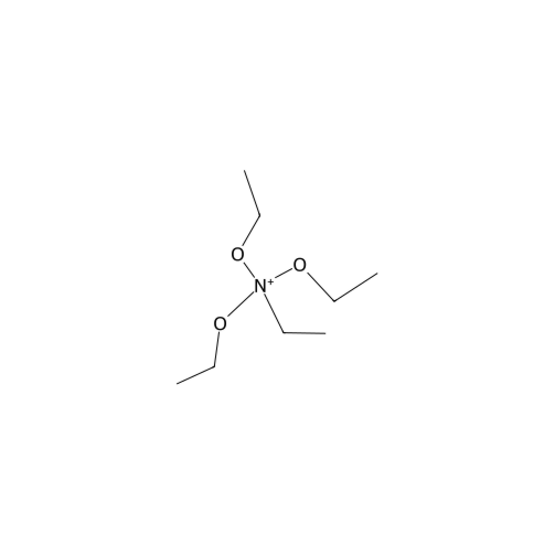 CCO[N+](CC)(OCC)OCC